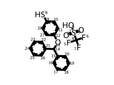 O=S(=O)(O)C(F)(F)F.Sc1ccc(OC(c2ccccc2)c2ccccc2)cc1